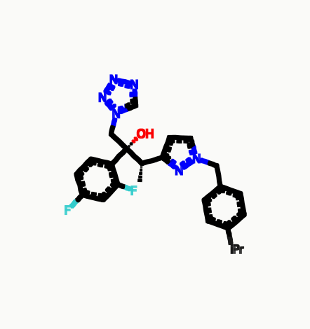 CC(C)c1ccc(Cn2ccc([C@H](C)[C@](O)(Cn3cnnn3)c3ccc(F)cc3F)n2)cc1